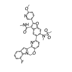 CNC(=O)c1c(-c2ccc(OC)nc2)oc2cc(N(C)S(C)(=O)=O)c(-c3ccc4c(n3)-c3cc5cccc(F)c5n3CO4)cc12